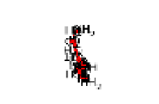 CC(C)(COP(=O)(O)OP(=O)(O)OC[C@H]1O[C@@H](n2cnc3c(N)ncnc32)C(O)[C@H]1OP(=O)(O)O)[C@@H](O)C(=O)NCCC(=O)NCCS[C@H]1CC(=O)N(CCCCCC(=O)NN)C1=O